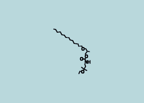 CCCCCCCCCCCCCCOCC(C)COC(=O)NCCC(C)(C)OCC